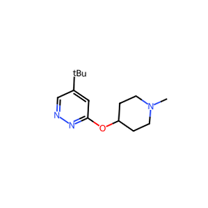 CN1CCC(Oc2cc(C(C)(C)C)cnn2)CC1